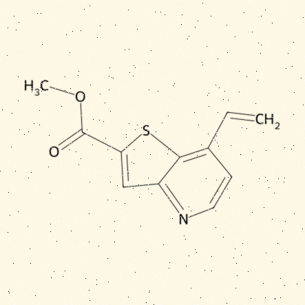 C=Cc1ccnc2cc(C(=O)OC)sc12